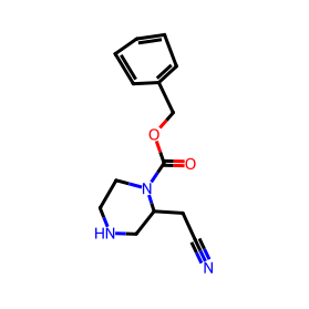 N#CCC1CNCCN1C(=O)OCc1ccccc1